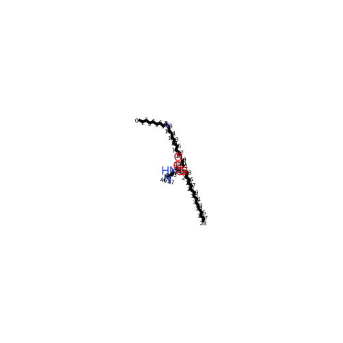 CCCCCCCC/C=C\CCCCCCCCOCC(COCCCCCCCCCCCCCCCC)OC(=O)NCCN(C)C